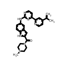 C=C(C)c1ccnc(-c2ccnc(Nc3ccc4[nH]c(C(=O)N5CCN(C)CC5)cc4c3)n2)c1